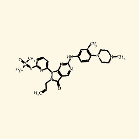 C=CCn1c(=O)c2cnc(Nc3ccc(N4CCN(C)CC4)c(C)c3)nc2n1-c1cccc(N=S(C)(C)=O)n1